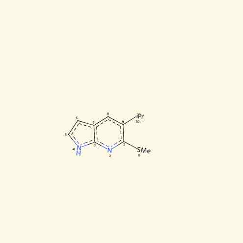 CSc1nc2[nH]ccc2cc1C(C)C